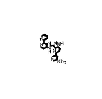 Nc1cncc(-c2ccc3[nH]nc(-c4nc5c(-c6ccccn6)nccc5[nH]4)c3n2)c1